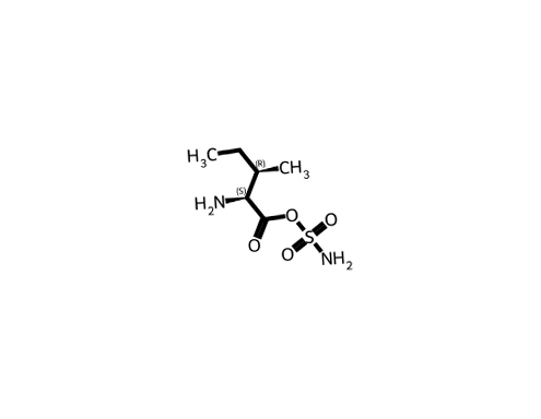 CC[C@@H](C)[C@H](N)C(=O)OS(N)(=O)=O